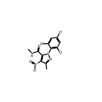 CNC(=O)c1c([N+](=O)[O-])c(C)nn1-c1c(Cl)cc(Cl)cc1Cl